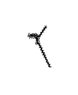 CCCCCCCCCCCCCCCCCCCCCC(=O)OCC(COP(=O)(O)OCC[N+](C)(C)C)OC(=O)CCCCCCCCCC